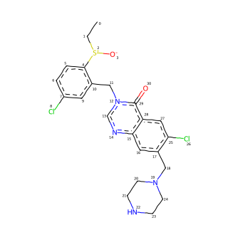 CC[S+]([O-])c1ccc(Cl)cc1Cn1cnc2cc(CN3CCNCC3)c(Cl)cc2c1=O